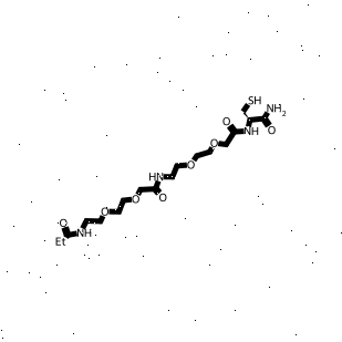 CCC(=O)NCCOCCOCC(=O)NCCOCCOCC(=O)N[C@H](CS)C(N)=O